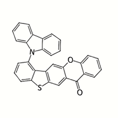 O=c1c2ccccc2oc2cc3c(cc12)sc1cccc(-n2c4ccccc4c4ccccc42)c13